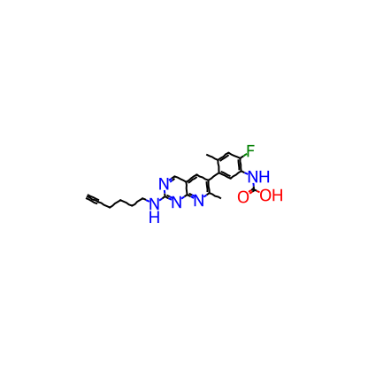 C#CCCCCNc1ncc2cc(-c3cc(NC(=O)O)c(F)cc3C)c(C)nc2n1